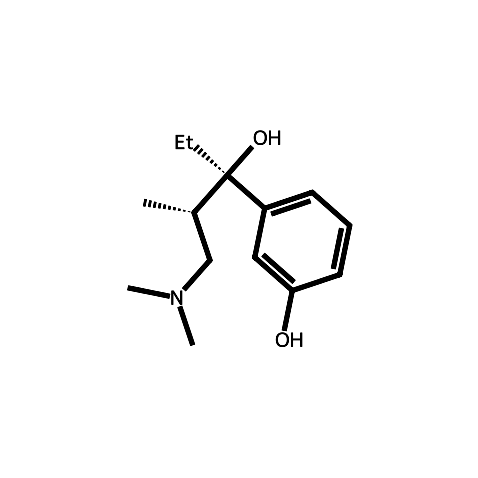 CC[C@](O)(c1cccc(O)c1)[C@@H](C)CN(C)C